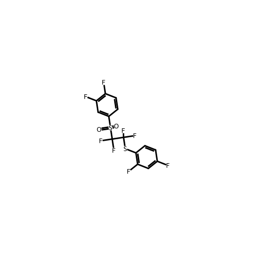 O=S(=O)(c1ccc(F)c(F)c1)C(F)(F)C(F)(F)Sc1ccc(F)cc1F